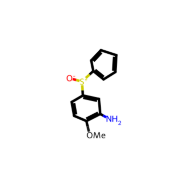 COc1ccc([S+]([O-])c2ccccc2)cc1N